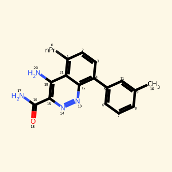 CCCc1ccc(-c2cccc(C)c2)c2nnc(C(N)=O)c(N)c12